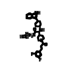 Cl.Cl.NC(=O)[C@H](N[C@H]1CC[C@H](c2c[nH]c3ccccc32)CC1)C1CCN(C(=O)/C=C/c2cc(F)cc(F)c2)CC1